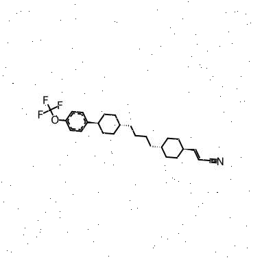 N#CC=C[C@H]1CC[C@H](CCCC[C@H]2CC[C@H](c3ccc(OC(F)(F)F)cc3)CC2)CC1